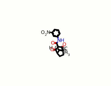 CC1(C)C2CC[C@@]1(C)C(=O)C(C(=O)Nc1cccc([N+](=O)[O-])c1)C2=O